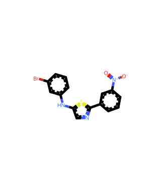 O=[N+]([O-])c1cccc(-c2ncc(Nc3cccc(Br)c3)s2)c1